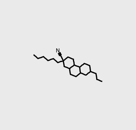 CCCCCCC1(C#N)CCC2C(CCC3CC(CCC)CCC32)C1